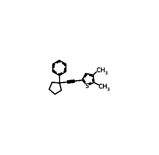 Cc1cc(C#CC2(c3ccccc3)CCCC2)sc1C